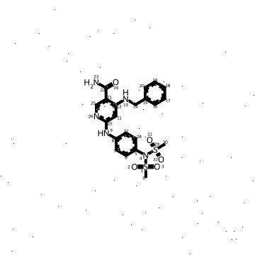 CS(=O)(=O)N(c1ccc(Nc2cc(NCc3ccccc3)c(C(N)=O)cn2)cc1)S(C)(=O)=O